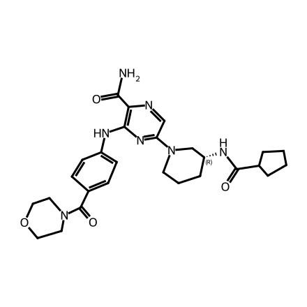 NC(=O)c1ncc(N2CCC[C@@H](NC(=O)C3CCCC3)C2)nc1Nc1ccc(C(=O)N2CCOCC2)cc1